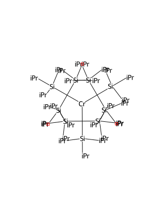 CC(C)[Si](C(C)C)(C(C)C)[C]([Cr]([C]([Si](C(C)C)(C(C)C)C(C)C)([Si](C(C)C)(C(C)C)C(C)C)[Si](C(C)C)(C(C)C)C(C)C)[C]([Si](C(C)C)(C(C)C)C(C)C)([Si](C(C)C)(C(C)C)C(C)C)[Si](C(C)C)(C(C)C)C(C)C)([Si](C(C)C)(C(C)C)C(C)C)[Si](C(C)C)(C(C)C)C(C)C